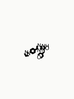 O=c1[nH]c2ncc(-c3ccc(-n4cccn4)cc3)nc2n1CC1CCOCC1